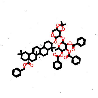 CC1OC(OC2C(O[C@H]3CC[C@@]4(C)C(CC[C@]5(C)C4CC=C4C6CC(C)(C)CC[C@]6(C(=O)OCc6ccccc6)CC[C@]45C)C3(C)C)OCC3OC(C)(C)OC32)C(OC(=O)c2ccccc2)C(OC(=O)c2ccccc2)C1OC(=O)c1ccccc1